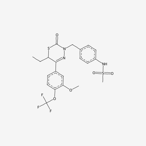 CCC1SC(=O)N(Cc2ccc(NS(C)(=O)=O)cc2)N=C1c1ccc(OC(F)(F)F)c(OC)c1